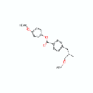 CCCCCCCCCCOc1ccc(OC(=O)c2ccc(CC(C)COCCC)cc2)cc1